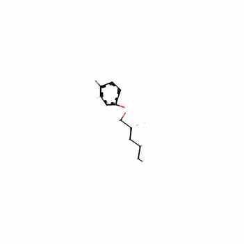 CCCC[C@H](O)COc1ccc(Br)cc1